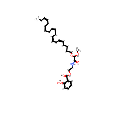 CC/C=C\C/C=C\C/C=C\C/C=C\C/C=C\CCCCOC(OC)C(=O)NCCOC(=O)c1ccccc1O